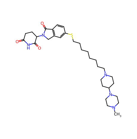 CN1CCN(C2CCN(CCCCCCCCSc3ccc4c(c3)CN(C3CCC(=O)NC3=O)C4=O)CC2)CC1